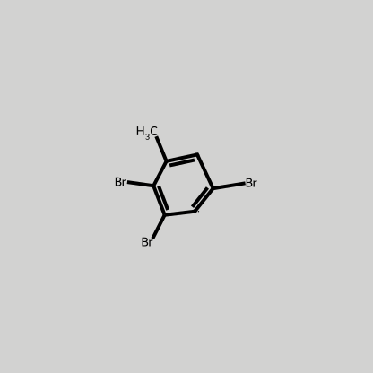 Cc1cc(Br)[c]c(Br)c1Br